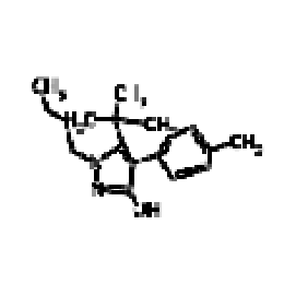 CCCCn1nc(O)c(-c2ccc(C)cc2)c1C(C)(C)C